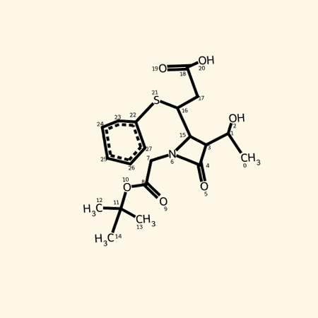 CC(O)C1C(=O)N(CC(=O)OC(C)(C)C)C1C(CC(=O)O)Sc1ccccc1